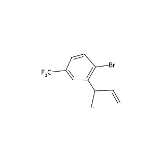 [CH2]C(C=C)c1cc(C(F)(F)F)ccc1Br